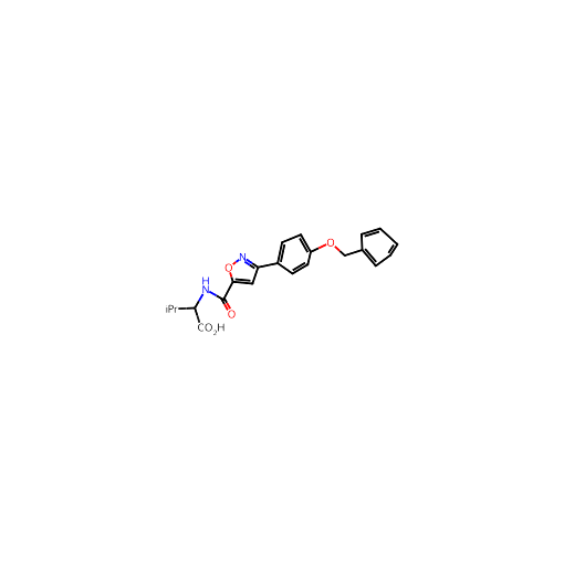 CC(C)C(NC(=O)c1cc(-c2ccc(OCc3ccccc3)cc2)no1)C(=O)O